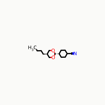 CCCC[C@H]1CO[C@H](C2CCC(C#N)CC2)OC1